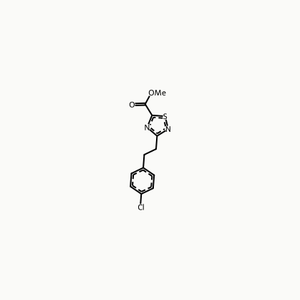 COC(=O)c1nc(CCc2ccc(Cl)cc2)ns1